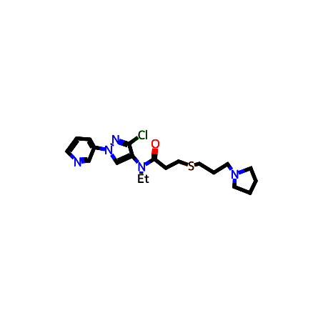 CCN(C(=O)CCSCCCN1CCCC1)c1cn(-c2cccnc2)nc1Cl